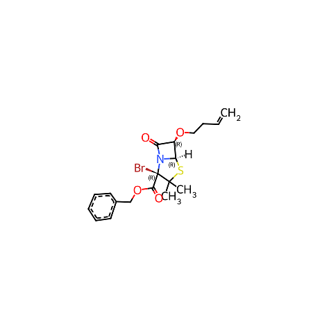 C=CCCO[C@@H]1C(=O)N2[C@@H]1SC(C)(C)[C@]2(Br)C(=O)OCc1ccccc1